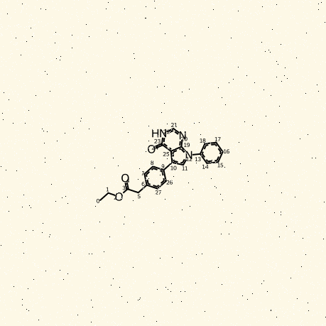 CCOC(=O)Cc1ccc(-c2cn(-c3ccccc3)c3nc[nH]c(=O)c23)cc1